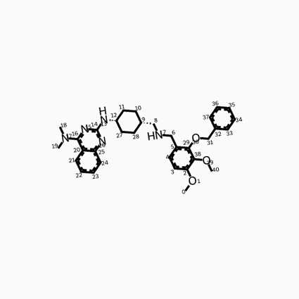 COc1ccc(CNC[C@H]2CC[C@@H](Nc3nc(N(C)C)c4ccccc4n3)CC2)c(OCc2ccccc2)c1OC